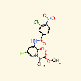 COC(=O)C(C)n1cc(F)cc(NC(=O)c2ccc([N+](=O)[O-])c(Cl)c2)c1=O